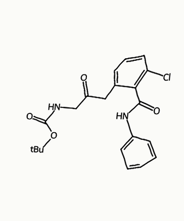 CC(C)(C)OC(=O)NCC(=O)Cc1cccc(Cl)c1C(=O)Nc1ccccc1